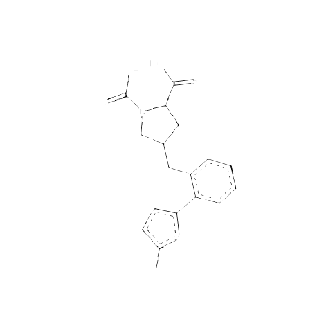 O=C(O)C1CC(Cc2ccccc2-c2ccc(Cl)s2)CN1C(=O)O